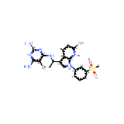 CC(Nc1nc(N)nc(N)c1C#N)c1cn(-c2cccc(S(C)(=O)=O)c2)c2nc(Cl)ccc12